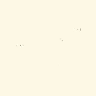 CC(=O)NCCc1csc2ccc(O)nc12